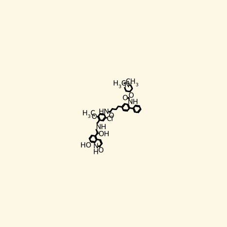 COc1cc(NC(=O)CCCc2ccc(-c3ccccc3)c(NC(=O)OC3CC[N+](C)(C)CC3)c2)c(Cl)cc1CNC[C@@H](O)c1ccc(O)c2[nH]c(=O)ccc12